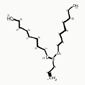 C=CCN(OCCCCCCCO)OCCCCCCCO